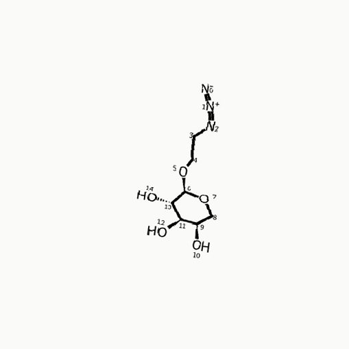 [N-]=[N+]=NCCO[C@H]1OC[C@@H](O)[C@@H](O)[C@@H]1O